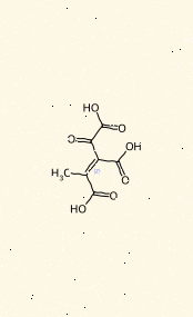 C/C(C(=O)O)=C(/C(=O)O)C(=O)C(=O)O